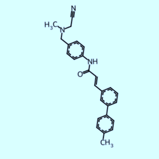 Cc1ccc(-c2cccc(C=CC(=O)Nc3ccc(CN(C)CC#N)cc3)c2)cc1